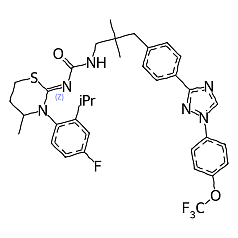 CC(C)c1cc(F)ccc1N1/C(=N/C(=O)NCC(C)(C)Cc2ccc(-c3ncn(-c4ccc(OC(F)(F)F)cc4)n3)cc2)SCCC1C